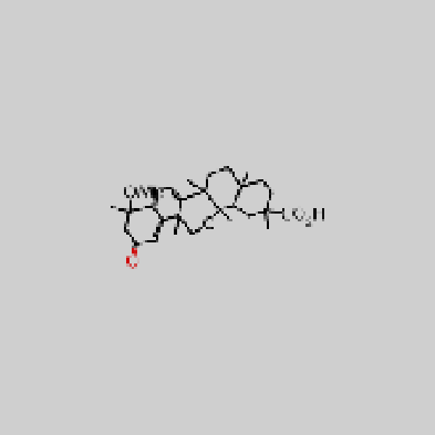 COC1(C)CC(=O)C=C2C1=CC=C1C2(C)CCC2(C)C3CC(C)(C(=O)O)CCC3(C)CCC12C